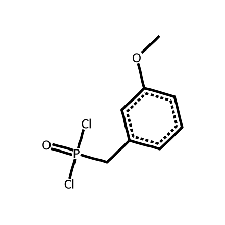 COc1cccc(CP(=O)(Cl)Cl)c1